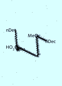 CCCCCCCCCCCCCCCCCCCCCCCCC(C)(C(=O)O)[C@@H](CCCCCCCCCCCCCCCCCC[C@H]1C[C@@H]1[C@@H](C)CCCCCCCCCCCCCCC[C@H](OC)[C@@H](C)CCCCCCCCCCCCCCCCCC)O[Si](C)(C)C(C)(C)C